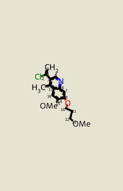 C=C(Cl)c1cnc2cc(OCCCOC)c(OC)cc2c1C